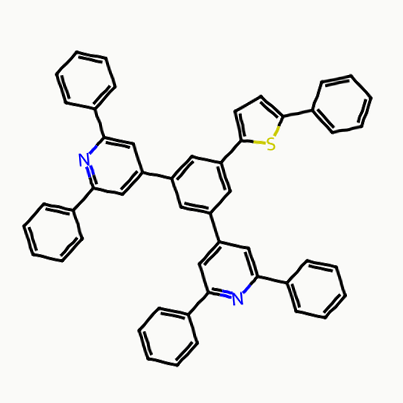 c1ccc(-c2cc(-c3cc(-c4cc(-c5ccccc5)nc(-c5ccccc5)c4)cc(-c4ccc(-c5ccccc5)s4)c3)cc(-c3ccccc3)n2)cc1